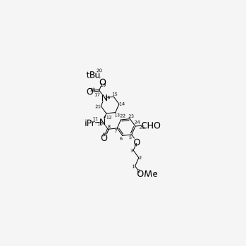 COCCCOc1cc(C(=O)N(C(C)C)[C@@H]2CCCN(C(=O)OC(C)(C)C)C2)ccc1C=O